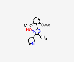 COc1cccc(OC)c1-c1nc(C)c(-c2cccnc2)n1O